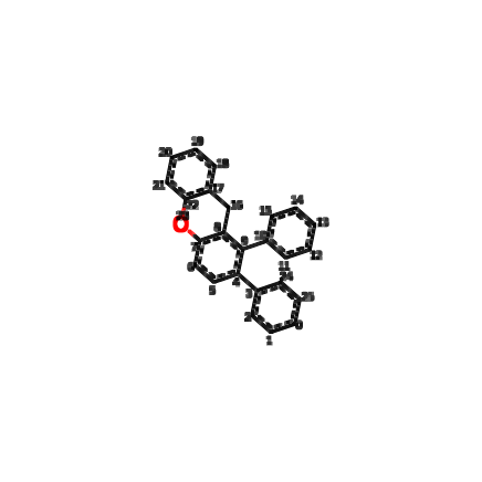 c1ccc(-c2ccc3c(c2-c2ccccc2)Cc2ccccc2O3)cc1